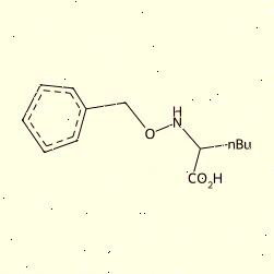 CCCCC(NOCc1ccccc1)C(=O)O